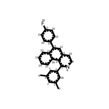 Cc1cc(C)cc(-c2nccc3cc(-c4ccc(F)cc4)c4ccccc4c23)c1